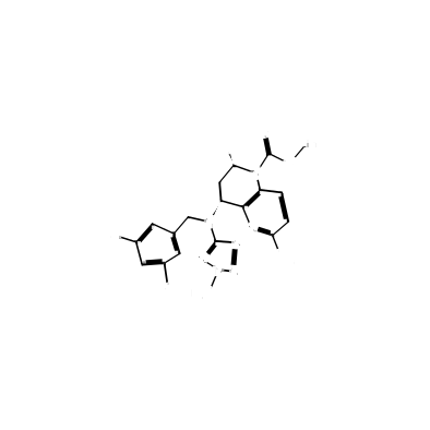 CC[C@@H]1C[C@H](N(Cc2cc(Cl)cc(C(F)(F)F)c2)c2nnn(C)n2)c2nc(C(F)(F)F)ccc2N1C(=O)OC(C)C